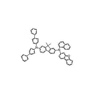 CC1(C)c2cc(N(c3ccc(-c4ccccc4)cc3)c3ccc(-c4ccccc4)cc3)ccc2-c2ccc(N(c3ccc4c(c3)oc3ccccc34)c3cccc4ccccc34)cc21